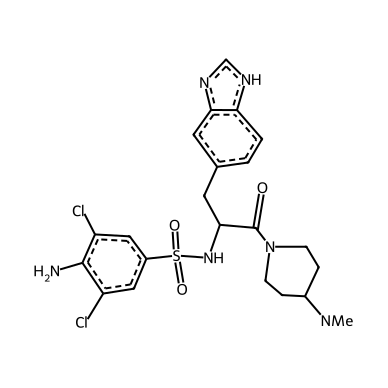 CNC1CCN(C(=O)C(Cc2ccc3[nH]cnc3c2)NS(=O)(=O)c2cc(Cl)c(N)c(Cl)c2)CC1